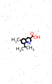 Cc1cc(C(C)C)c2ncc(C(=O)O)cc2c1